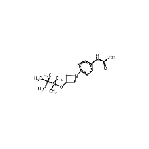 CC(C)(C)[Si](C)(C)OC1CN(c2ccc(NC(=O)O)cn2)C1